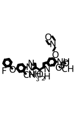 Cc1cc(Oc2ccccc2F)ccc1-n1ncc(C(=O)c2cc3cc(OCCN4CCOCC4)c(NS(C)(=O)=O)cc3[nH]2)c1N